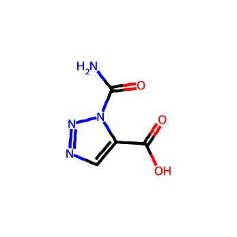 NC(=O)n1nncc1C(=O)O